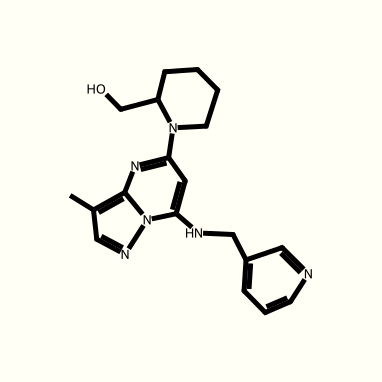 Cc1cnn2c(NCc3cccnc3)cc(N3CCCCC3CO)nc12